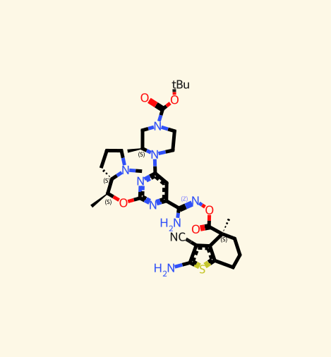 C[C@H](Oc1nc(/C(N)=N/OC(=O)[C@@]2(C)CCCc3sc(N)c(C#N)c32)cc(N2CCN(C(=O)OC(C)(C)C)C[C@@H]2C)n1)[C@@H]1CCCN1C